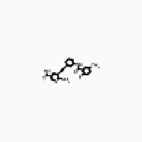 Cc1ccc(F)c(C(=O)Nc2cccc(C#Cc3cc(C(N)=O)cnc3N)c2)c1